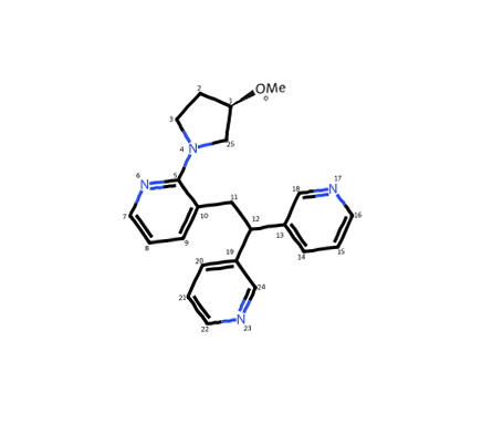 CO[C@@H]1CCN(c2ncccc2CC(c2cccnc2)c2cccnc2)C1